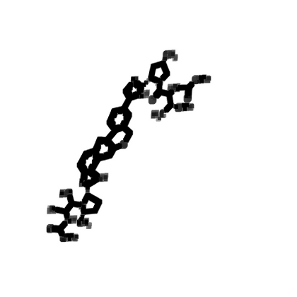 COC(=O)NC(C(C)C)C(O)N1[C@@H](C)CC[C@H]1c1nc2ccc3cc4c(cc3c2[nH]1)OCc1cc(-c2cnc([C@@H]3C[C@H](C)CN3C(=O)C(NC(=O)OC)[C@@H](C)OC)[nH]2)ccc1-4